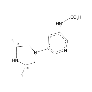 C[C@@H]1CN(c2cncc(NC(=O)O)c2)C[C@H](C)N1